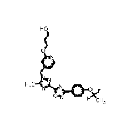 Cc1nc(-c2nc(-c3ccc(OC(C)(F)F)cc3)no2)nn1Cc1ccnc(OCCCO)c1